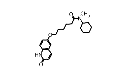 CN(C(=O)CCCCCOc1ccc2[nH]c(=O)ccc2c1)C1CCCCC1